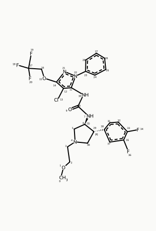 COCCN1C[C@@H](NC(=O)Nc2c(Cl)c(OCC(F)(F)F)nn2-c2ccccc2)[C@H](c2ccc(F)c(F)c2)C1